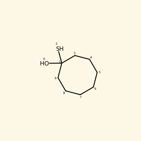 OC1(S)CCCCCCC1